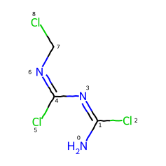 N/C(Cl)=N\C(Cl)=N/CCl